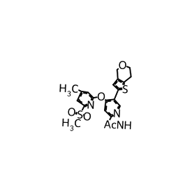 CC(=O)Nc1cc(Oc2cc(C)cc(S(C)(=O)=O)n2)c(-c2cc3c(s2)CCOC3)cn1